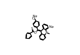 CN1c2ccccc2C(=C(OC(=S)c2ccccc2)c2ccc(Cl)cc2)c2ccccc21.[Na].[Na]